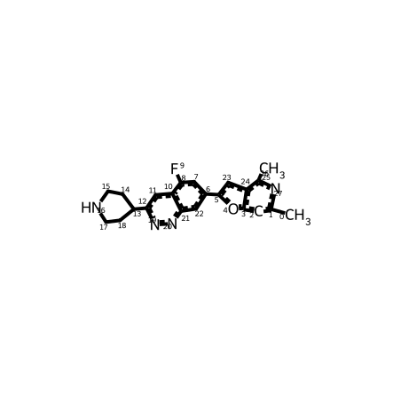 Cc1cc2oc(-c3cc(F)c4cc(C5CCNCC5)nnc4c3)cc2c(C)n1